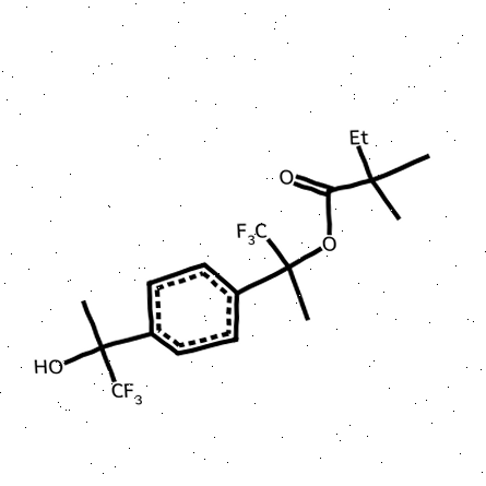 CCC(C)(C)C(=O)OC(C)(c1ccc(C(C)(O)C(F)(F)F)cc1)C(F)(F)F